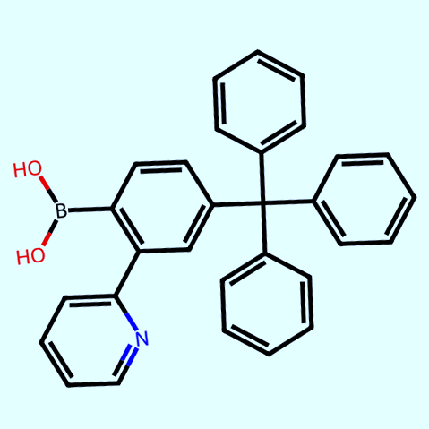 OB(O)c1ccc(C(c2ccccc2)(c2ccccc2)c2ccccc2)cc1-c1ccccn1